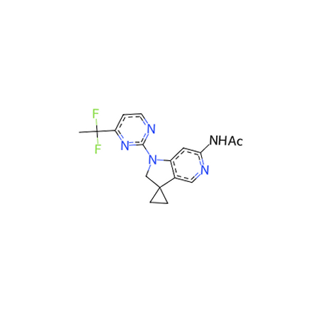 CC(=O)Nc1cc2c(cn1)C1(CC1)CN2c1nccc(C(C)(F)F)n1